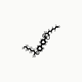 C=CCCCCC1COC(c2ccc(-c3ccc(OC(C)CCCCCC)cc3)cc2)OC1